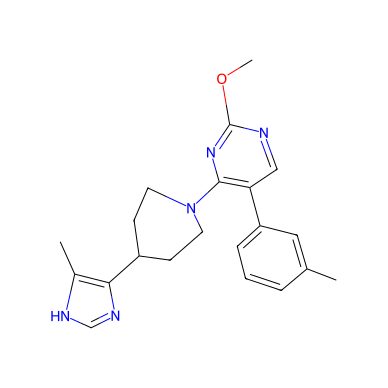 COc1ncc(-c2cccc(C)c2)c(N2CCC(c3nc[nH]c3C)CC2)n1